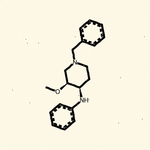 CO[C@H]1CN(Cc2ccccc2)CC[C@H]1Nc1ccccc1